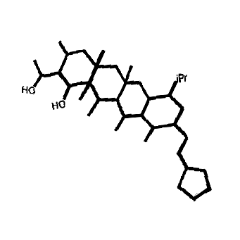 CC(C)C1CC(CCC2CCCC2)C(C)C2C(C)C3C(C)C4(C)C(O)C(C(C)O)C(C)CC4(C)CC3(C)CC12